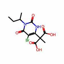 CCC(C)n1c(=O)[nH]c(C(C)(C(=O)O)C(=O)O)c(Br)c1=O